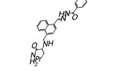 CC(C)CC(NCc1ccc(/C=N/NC(=O)c2ccc(O)c(Cl)c2)c2ccccc12)C(N)=O